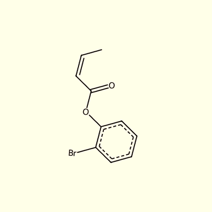 C/C=C\C(=O)Oc1ccccc1Br